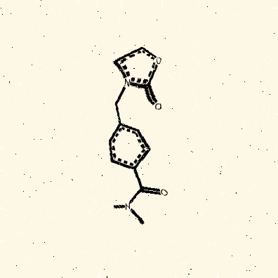 CN(C)C(=O)c1ccc(Cn2ccoc2=O)cc1